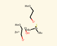 CCC[CH2][Sn](=[S])[CH2]CCC.CCO.COCC[O-].COCC[O-].[Zn+2]